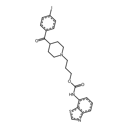 O=C(Nc1cccc2ncsc12)OCCCN1CCC(C(=O)c2ccc(I)cc2)CC1